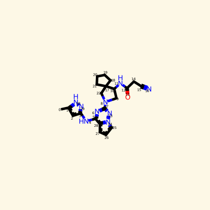 Cc1cc(Nc2nc(N3CC(NC(=O)CC#N)C4(CCCC4)C3)nn3cccc23)n[nH]1